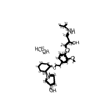 COc1cc(CCO[C@H]2CCCC[C@@H]2N2CC[C@H](O)C2)ccc1OCC(O)CNC(C)C.Cl.Cl